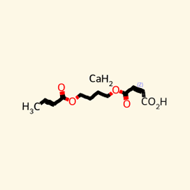 CC=CC(=O)OCCCCOC(=O)/C=C\C(=O)O.[CaH2]